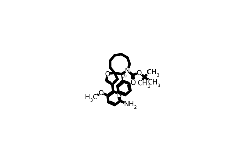 COc1ccc(N)nc1C1COC2(CCCCCCN(C(=O)OC(C)(C)C)[C@H]2c2ccccc2)C1